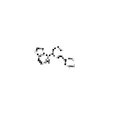 c1ccc(-c2cccc(-c3nccc4sccc34)c2)cc1